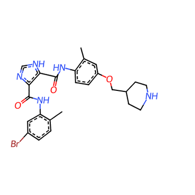 Cc1ccc(Br)cc1NC(=O)c1nc[nH]c1C(=O)Nc1ccc(OCC2CCNCC2)cc1C